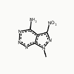 Cn1nc([N+](=O)[O-])c2c(N)nnnc21